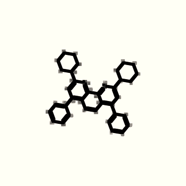 c1ccc(-c2cc(C3CCCCC3)nc3c2ccc2c(-c4ccccc4)cc(C4CCCCC4)nc23)cc1